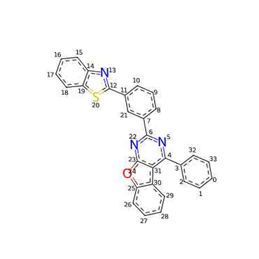 c1ccc(-c2nc(-c3cccc(-c4nc5ccccc5s4)c3)nc3oc4ccccc4c23)cc1